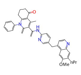 C=C(Nc1ccc(Cc2ccnc3cc(CCC)c(OC)cc23)cn1)C1=C(C)C2=C(CCCC2=O)N(c2ccccc2)C1=C